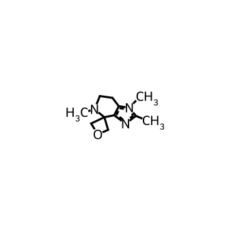 Cc1nc2c(n1C)CCN(C)C21COC1